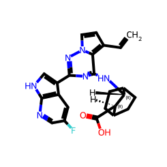 C=Cc1ccn2nc(-c3c[nH]c4ncc(F)cc34)nc(N[C@@H]3C4CCC(CC4)[C@H]3C(=O)O)c12